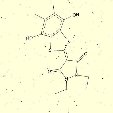 CCN1C(=O)C(=C2Sc3c(O)c(C)c(C)c(O)c3S2)C(=O)N1CC